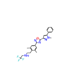 Cc1cc(-c2noc(-c3cc(-c4ccccc4)n(C)n3)n2)cc(C)c1CCNCC(F)(F)F